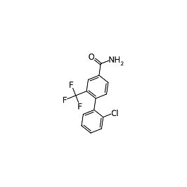 NC(=O)c1ccc(-c2ccccc2Cl)c(C(F)(F)F)c1